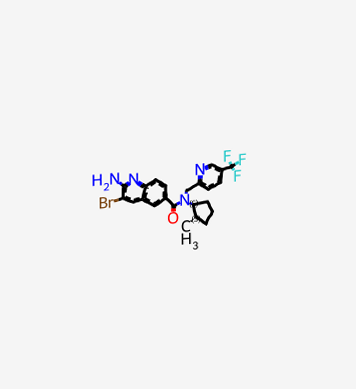 C[C@H]1CCC[C@@H]1N(Cc1ccc(C(F)(F)F)cn1)C(=O)c1ccc2nc(N)c(Br)cc2c1